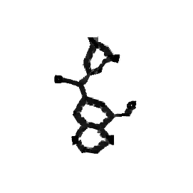 O=Cc1cc(C(=O)c2cncnc2)cc2nccnc12